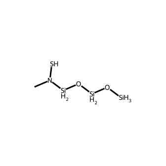 CN(S)[SiH2]O[SiH2]O[SiH3]